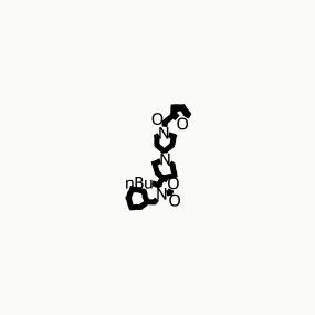 CCCCC1N(CC2CCCCC2)C(=O)OC12CCN(C1CCN(C(=O)c3ccco3)CC1)CC2